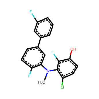 CN(c1cc(-c2cccc(F)c2)ccc1F)c1c(Cl)ccc(O)c1F